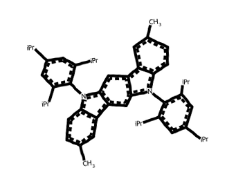 Cc1ccc2c(c1)c1cc3c(cc1n2-c1c(C(C)C)cc(C(C)C)cc1C(C)C)c1cc(C)ccc1n3-c1c(C(C)C)cc(C(C)C)cc1C(C)C